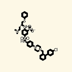 CN(C)CC[C@H](CSc1ccccc1)Nc1ccc(S(=O)(=O)Nc2ccc(N3CCN(Cc4ccccc4-c4ccc(Cl)cc4)CC3)cc2)cc1[N+](=O)[O-]